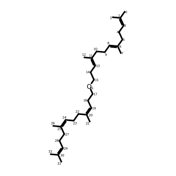 CC(C)=CCCC(C)=CCCC(C)=CCCOCCC=C(C)CCC=C(C)CCC=C(C)C